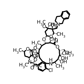 CC[C@H]1OC(=O)[C@H](C)[C@@H](O[C@H]2C[C@@](C)(OC)[C@](O)(CN3CCc4ccccc4C3)[C@H](C)O2)[C@H](C)[C@@H](O[C@@H]2O[C@H](C)C[C@H](N(C)S(=O)(=O)c3ccc(Cl)cc3)[C@H]2O)[C@](C)(O)C[C@@H](C)CN[C@H](C)[C@@H](O)[C@]1(C)O